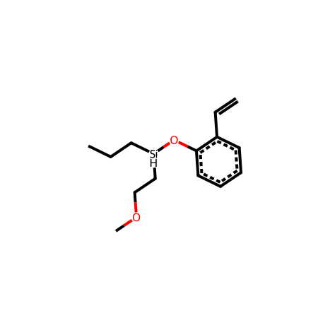 C=Cc1ccccc1O[SiH](CCC)CCOC